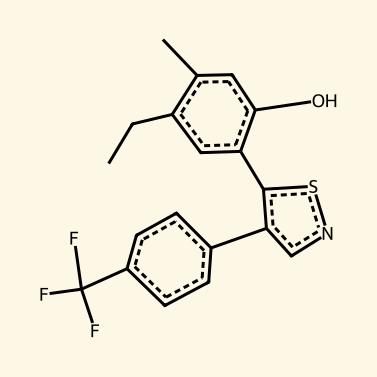 CCc1cc(-c2sncc2-c2ccc(C(F)(F)F)cc2)c(O)cc1C